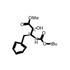 COC(=O)[C@H](O)[C@H](Cc1ccccc1)NC(=O)OC(C)(C)C